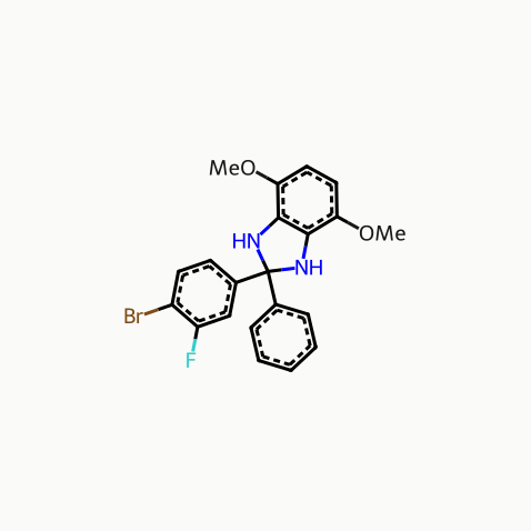 COc1ccc(OC)c2c1NC(c1ccccc1)(c1ccc(Br)c(F)c1)N2